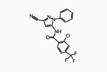 N#Cc1cc(NC(=O)c2ccc(C(F)(F)F)cc2Cl)n(-c2ccccc2)n1